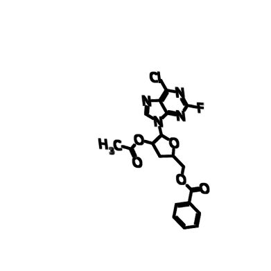 CC(=O)OC1CC(COC(=O)c2ccccc2)OC1n1cnc2c(Cl)nc(F)nc21